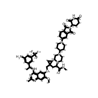 CNC(=O)C(CC1(COc2cc3c(NC(C)c4cc(N)cc(C(F)(F)F)c4)nc(C)nc3cc2OC)CC1)N1CCN(C2CCN(c3ccc4c(c3)C(=O)N(C3CCC(=O)NC3=O)C4=O)CC2)CC1